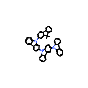 CC1(C)c2ccccc2-c2ccc(-n3c4ccccc4c4ccc(-n5c6ccccc6c6cc(-n7c8ccccc8c8ccccc87)ccc65)cc43)cc21